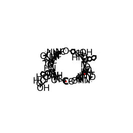 CN[C@@H](C)C(=O)N[C@H](C(=O)N1C[C@@H]2C[C@H]1C(=O)N[C@@H](Cc1ccc3ccccc3c1)C(=O)N[C@H](C(=O)O)Cc1ccc(cc1)OCc1cn(nn1)[C@H]1C[C@@H](C(=O)N[C@@H](Cc3ccc4ccccc4c3)C(=O)N[C@H](C(=O)NCC[C@@H](O)C[C@@H](O)CC(=O)O)Cc3ccc(cc3)OCc3cn2nn3)N(C(=O)[C@@H](NC(=O)[C@H](C)NC)C(C)(C)C)C1)C(C)(C)C